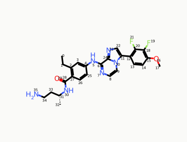 CCc1cc(Nc2nccn3c(-c4ccc(OC)c(F)c4F)cnc23)ccc1C(=O)N[C@H](C)CCN